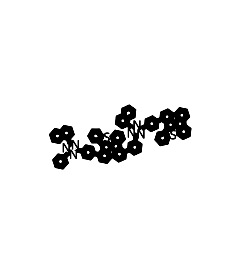 c1ccc(-c2nc(-c3ccc(-c4cccc5c4-c4c(sc6ccccc46)C54c5ccccc5-c5c(-c6cccc(-c7nc(-c8ccc(-c9cccc%10c9-c9c(sc%11ccccc9%11)C%109c%10ccccc%10-c%10ccccc%109)cc8)nc(-c8cccc9ccccc89)n7)c6)cccc54)cc3)nc(-c3cccc4ccccc34)n2)cc1